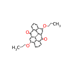 CCCOc1cc2c3c4c1cccc4c(=O)c1cc(OCCC)c4cccc(c2=O)c4c1-3